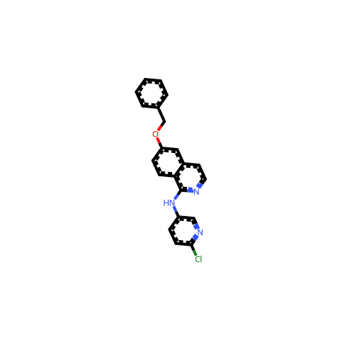 Clc1ccc(Nc2nccc3cc(OCc4ccccc4)ccc23)cn1